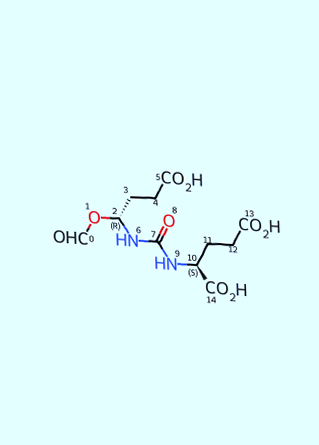 O=CO[C@H](CCC(=O)O)NC(=O)N[C@@H](CCC(=O)O)C(=O)O